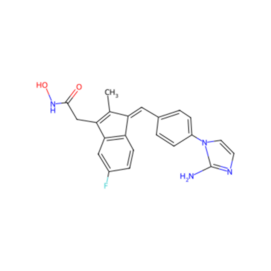 CC1=C(CC(=O)NO)c2cc(F)ccc2/C1=C\c1ccc(-n2ccnc2N)cc1